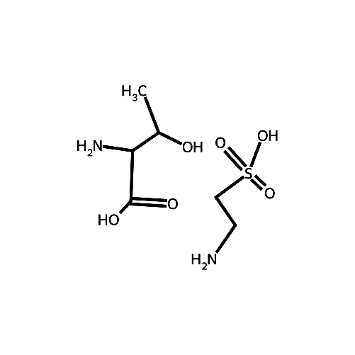 CC(O)C(N)C(=O)O.NCCS(=O)(=O)O